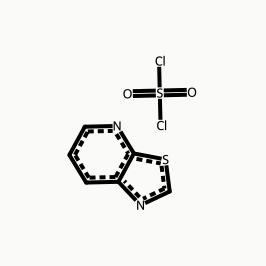 O=S(=O)(Cl)Cl.c1cnc2scnc2c1